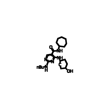 CCCCNc1ncc(C(=O)NC2CCCCCC2)c(N[C@H]2CC[C@H](O)CC2)n1